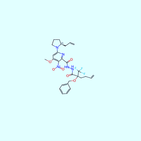 C=CCCC(OCc1ccccc1)(C(=O)NNC(=O)c1nc(N2CCC[C@H]2CC=C)cc(OC)c1[N+](=O)[O-])C(F)(F)F